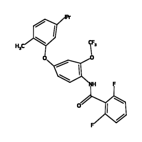 Cc1ccc(C(C)C)cc1Oc1ccc(NC(=O)c2c(F)cccc2F)c(OC(F)(F)F)c1